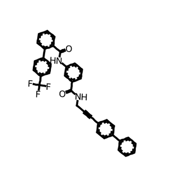 O=C(NCC#Cc1ccc(-c2ccccc2)cc1)c1cccc(NC(=O)c2ccccc2-c2ccc(C(F)(F)F)cc2)c1